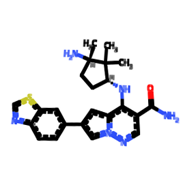 CC1(C)[C@H](Nc2c(C(N)=O)cnn3cc(-c4ccc5ncsc5c4)cc23)CC[C@]1(C)N